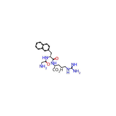 N=C(N)NCCC[C@H](NC(=O)[C@H](Cc1ccc2ccccc2c1)NC(=O)CN)C(=O)O